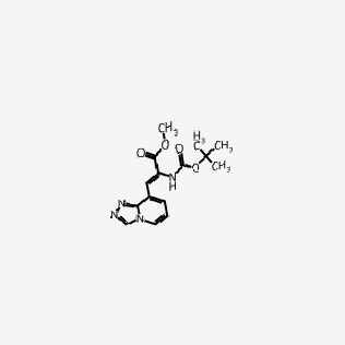 COC(=O)C(=Cc1cccn2cnnc12)NC(=O)OC(C)(C)C